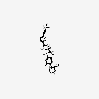 Cc1cc(NC(=O)C(C)(C)NC(=O)c2ccc(C#C[Si](C)(C)C)s2)ccc1N1CCOCC1=O